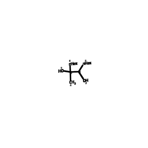 CCCCCCC(O)C(C)(O)CCCCCC